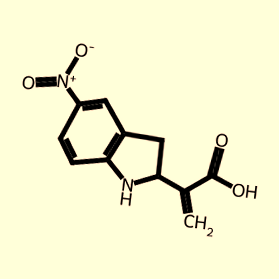 C=C(C(=O)O)C1Cc2cc([N+](=O)[O-])ccc2N1